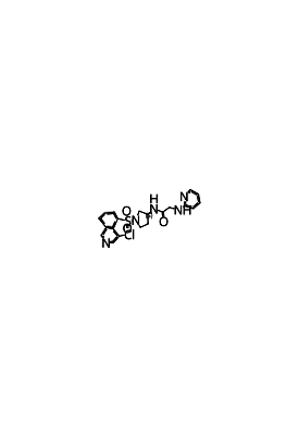 O=C(CNc1ccccn1)N[C@H]1CCN(S(=O)(=O)c2cccc3cncc(Cl)c23)C1